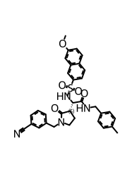 COc1ccc2ccc(S(=O)(=O)NC(C(=O)NCc3ccc(C)cc3)[C@@H]3CCN(Cc4cccc(C#N)c4)C3=O)cc2c1